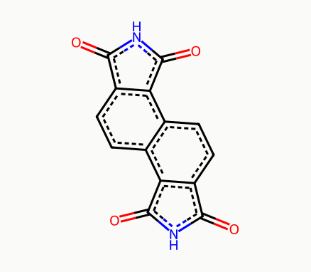 O=c1[nH]c(=O)c2c1ccc1c2ccc2c(=O)[nH]c(=O)c21